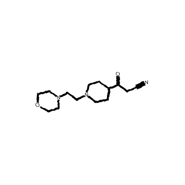 N#CCC(=O)C1CCN(CCN2CCOCC2)CC1